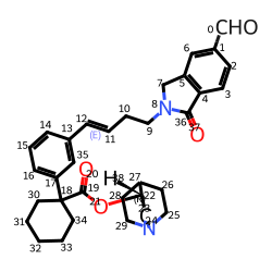 O=Cc1ccc2c(c1)CN(CC/C=C/c1cccc(C3(C(=O)O[C@H]4CN5CCC4CC5)CCCCC3)c1)C2=O